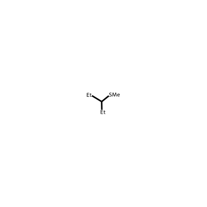 CCC(CC)SC